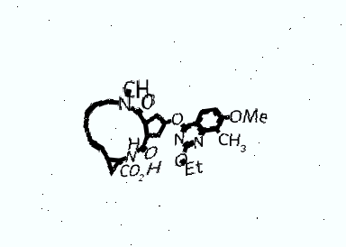 CCOc1nc(OC2CC3C(=O)NC4(C(=O)O)CC4/C=C/CCCCN(C)C(=O)C3C2)c2ccc(OC)c(C)c2n1